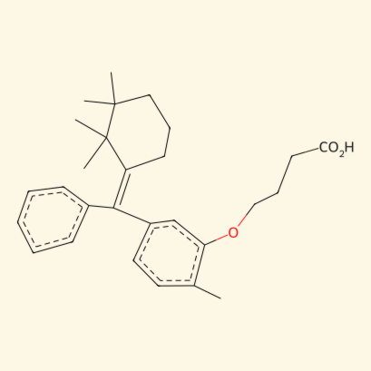 Cc1ccc(C(=C2CCCC(C)(C)C2(C)C)c2ccccc2)cc1OCCCC(=O)O